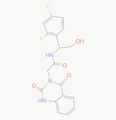 O=C(Cn1c(=O)[nH]c2ccccc2c1=O)NC(CO)c1ccc(F)cc1F